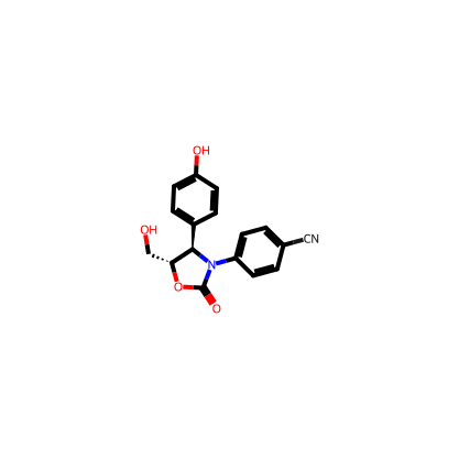 N#Cc1ccc(N2C(=O)O[C@H](CO)[C@H]2c2ccc(O)cc2)cc1